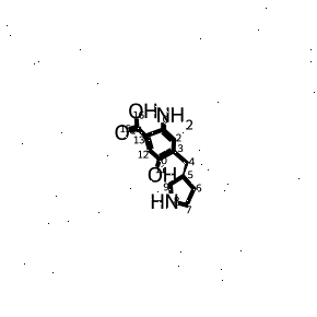 Nc1cc(C[C@H]2CCNC2)c(O)cc1C(=O)O